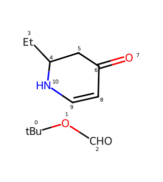 CC(C)(C)OC=O.CCC1CC(=O)C=CN1